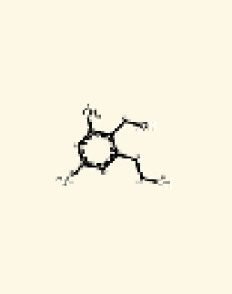 Cc1cc(C)c(CO)c(CCO)c1